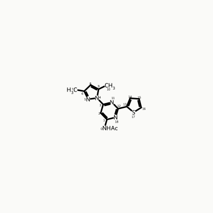 CC(=O)Nc1cc(-n2nc(C)cc2C)nc(-c2cccs2)n1